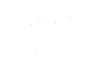 CCCC(=O)O[C@H]1[C@H](OC(=O)CCC)COC(OC(=O)C(C)(N)CC(F)c2ccc(O)c(O)c2)[C@@H]1OC(=O)CCC